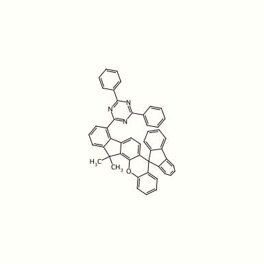 CC1(C)c2cccc(-c3nc(-c4ccccc4)nc(-c4ccccc4)n3)c2-c2ccc3c(c21)Oc1ccccc1C31c2ccccc2-c2ccccc21